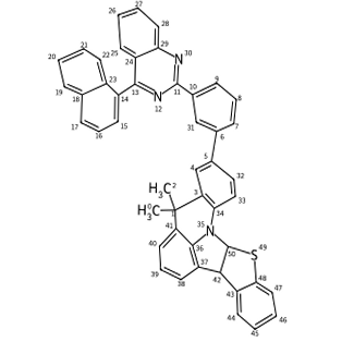 CC1(C)c2cc(-c3cccc(-c4nc(-c5cccc6ccccc56)c5ccccc5n4)c3)ccc2N2c3c(cccc31)C1c3ccccc3SC12